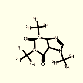 [2H]C([2H])([2H])N1C(=O)C2C(N=CN2C([2H])([2H])[2H])N(C([2H])([2H])[2H])C1=O